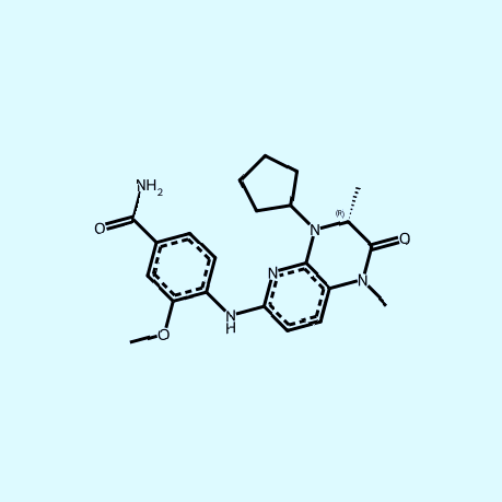 COc1cc(C(N)=O)ccc1Nc1ccc2c(n1)N(C1CCCC1)[C@H](C)C(=O)N2C